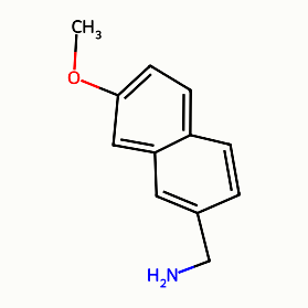 COc1ccc2ccc(CN)cc2c1